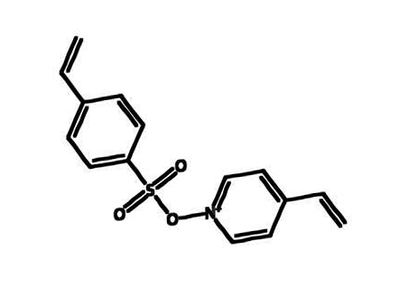 C=Cc1ccc(S(=O)(=O)O[n+]2ccc(C=C)cc2)cc1